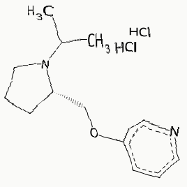 CC(C)N1CCC[C@H]1COc1cccnc1.Cl.Cl